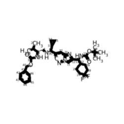 CC(C)[C@H](CN[C@@H](c1cnn2cc([C@@H](NC(=O)OC(C)(C)C)C3CCC(F)(F)CC3)nc2c1)C1CC1)NC(=O)OCc1ccccc1